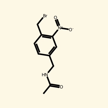 CC(=O)NCc1ccc(CBr)c([N+](=O)[O-])c1